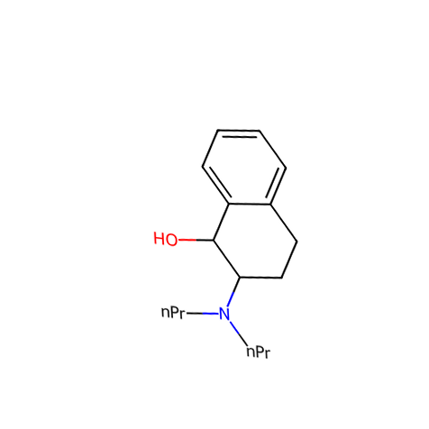 CCCN(CCC)C1CCc2ccccc2C1O